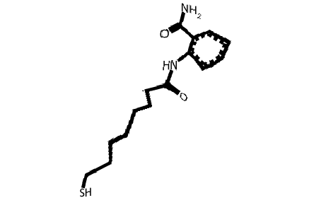 NC(=O)c1ccccc1NC(=O)[CH]CCCCCCS